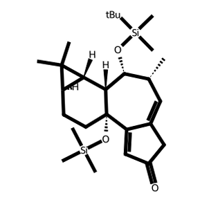 C[C@@H]1C=C2CC(=O)C=C2[C@@]2(O[Si](C)(C)C)CC[C@@H]3[C@@H]([C@@H]2[C@@H]1O[Si](C)(C)C(C)(C)C)C3(C)C